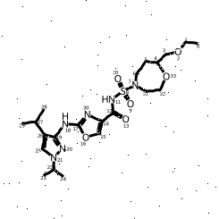 CCOCC1CCN(S(=O)(=O)NC(=O)c2coc(Nc3nn(C(C)C)cc3C(C)C)n2)CCO1